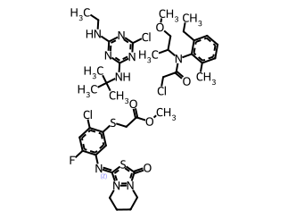 CCNc1nc(Cl)nc(NC(C)(C)C)n1.CCc1cccc(C)c1N(C(=O)CCl)C(C)COC.COC(=O)CSc1cc(/N=c2\sc(=O)n3n2CCCC3)c(F)cc1Cl